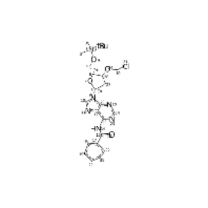 CC(C)(C)[Si](C)(C)OC[C@H]1O[C@@H](n2cnc3c(NC(=O)c4ccccc4)ncnc32)CC1OCCl